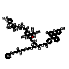 Nc1ccn([C@@H]2O[C@H](COP(=O)(O)OOC(=O)C3C[C@H](O)[C@@H](NC(=O)CNC(=O)CN(CCOCCOCCNC(=O)CCSSc4ccccn4)C(=O)COCC(=O)N4CCN(C(=O)c5ccccc5-c5c6ccc(=O)cc-6oc6cc(O)ccc56)CC4)[C@H]([C@H](O)[C@H](O)CO)O3)[C@@H](O)[C@H]2O)c(=O)n1